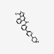 CN(c1cccc(-c2ccc(N3CCNCC3)nc2)c1)c1nc2nnc(Cl)n2c2ccccc12